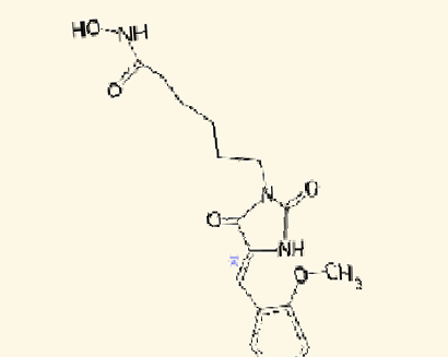 COc1ccccc1/C=C1\NC(=O)N(CCCCCC(=O)NO)C1=O